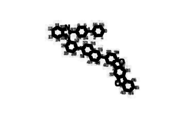 c1ccc(-c2ccc(-c3nc4ccccc4n3-c3cccc(-c4ccc5cc(-c6ccc7oc8cc9c(cc8c7c6)oc6ccccc69)ccc5c4)c3)cc2)cc1